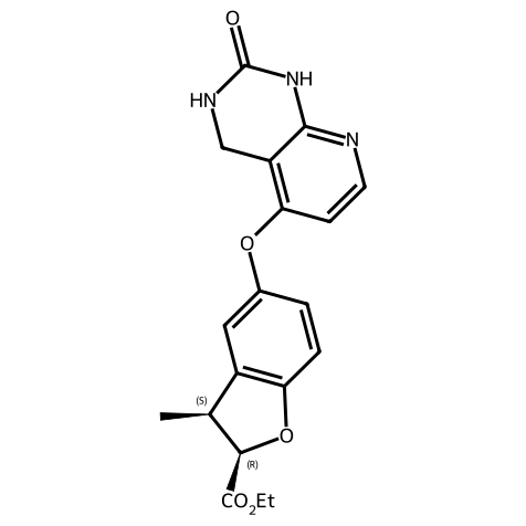 CCOC(=O)[C@@H]1Oc2ccc(Oc3ccnc4c3CNC(=O)N4)cc2[C@@H]1C